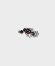 C[C@@H]1O[C@@H](O[C@H]2C[C@@H](O)[C@]3(CO)C4C(O)C[C@]5(C)[C@@H](C6COC(=O)C6)CC[C@]5(O)C4CC[C@]3(O)C2)[C@H](O)[C@H](O)[C@H]1O